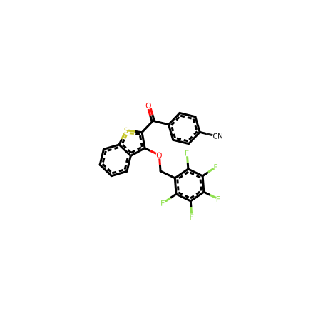 N#Cc1ccc(C(=O)c2sc3ccccc3c2OCc2c(F)c(F)c(F)c(F)c2F)cc1